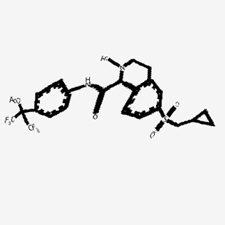 CC(=O)OC(c1ccc(NC(=O)C2c3ccc(S(=O)(=O)CC4CC4)cc3CCN2C(C)=O)cc1)(C(F)(F)F)C(F)(F)F